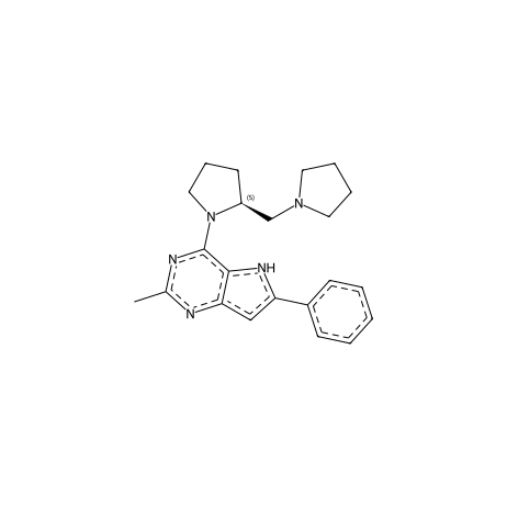 Cc1nc(N2CCC[C@H]2CN2CCCC2)c2[nH]c(-c3ccccc3)cc2n1